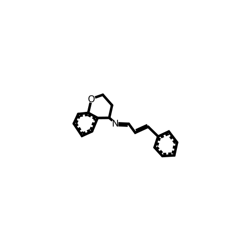 C(/C=C/c1ccccc1)=NC1CCOc2ccccc21